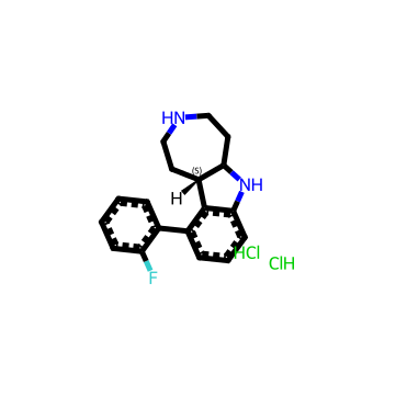 Cl.Cl.Fc1ccccc1-c1cccc2c1[C@@H]1CCNCCC1N2